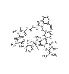 CN[C@H](C(=O)NC(C(=O)N(C)[C@H](/C=C(\C)C(=O)O)C(C)C)C(C)(C)C)C(C)(C)c1cccc(NC(=O)[C@H](C)NC(=O)[C@@H](NC(=O)CCCCC(=O)N2Cc3ccccc3C#Cc3ccccc32)C(C)C)c1